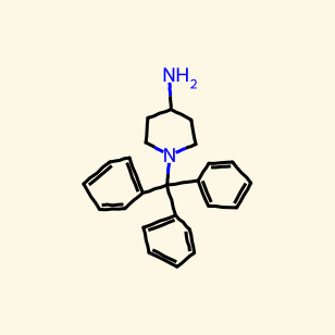 NC1CCN(C(c2ccccc2)(c2ccccc2)c2ccccc2)CC1